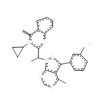 COc1cccc(-c2nn(C(C)c3nc4ccccc4c(=O)n3C3CC3)c3ncnc(N)c23)c1